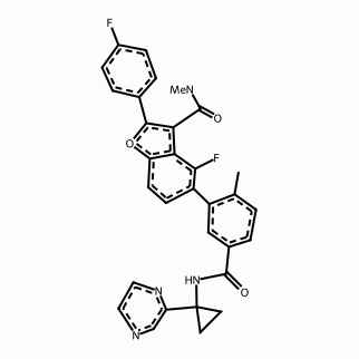 CNC(=O)c1c(-c2ccc(F)cc2)oc2ccc(-c3cc(C(=O)NC4(c5cnccn5)CC4)ccc3C)c(F)c12